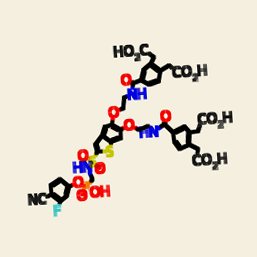 N#Cc1ccc(OP(=O)(O)CNS(=O)(=O)c2cc3cc(OCCNC(=O)c4ccc(CC(=O)O)c(CC(=O)O)c4)c(OCCNC(=O)c4ccc(CC(=O)O)c(CC(=O)O)c4)cc3s2)cc1F